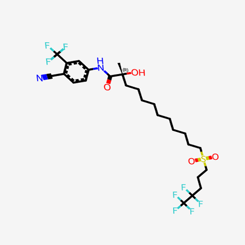 C[C@@](O)(CCCCCCCCCCS(=O)(=O)CCCC(F)(F)C(F)(F)F)C(=O)Nc1ccc(C#N)c(C(F)(F)F)c1